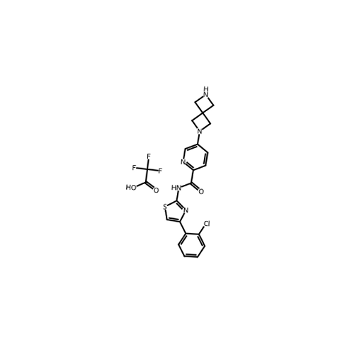 O=C(Nc1nc(-c2ccccc2Cl)cs1)c1ccc(N2CC3(CNC3)C2)cn1.O=C(O)C(F)(F)F